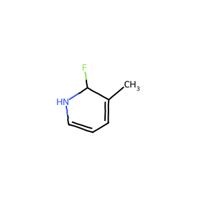 CC1=CC=CNC1F